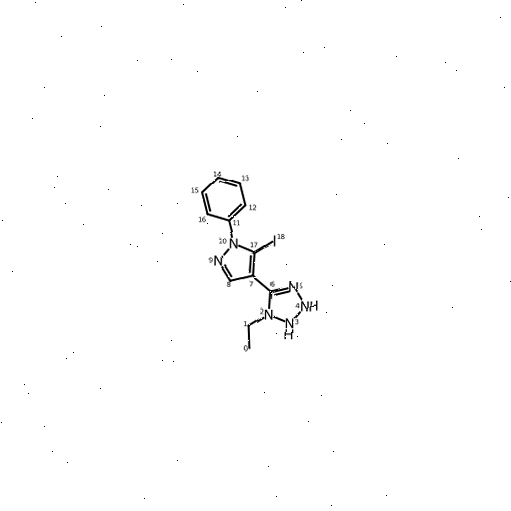 CCN1NNN=C1c1cnn(-c2ccccc2)c1I